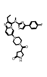 CCc1nc2ccc(N3CCN(C(=O)C4CNC(=O)C4)CC3)cn2c1N(C)c1nc(-c2ccc(F)cc2)cs1